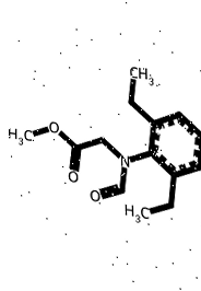 CCc1cccc(CC)c1N(C=O)CC(=O)OC